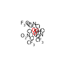 O=[N+]([O-])c1ccccc1C(O[SiH](OC(c1ccc(C(F)(F)F)cc1)c1ccccc1[N+](=O)[O-])OC(c1ccc(C(F)(F)F)cc1)c1ccccc1[N+](=O)[O-])c1ccc(C(F)(F)F)cc1